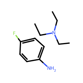 CCN(CC)CC.Nc1ccc(F)cc1